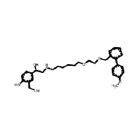 COc1ccc(-c2ccccc2COCCOCCCCCCNC[C@H](O)c2ccc(O)c(CO)c2)cc1